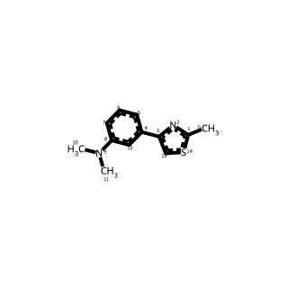 Cc1nc(-c2cccc(N(C)C)c2)cs1